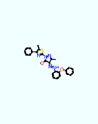 CC1=NN(c2nc(-c3ccccc3)c(C)s2)C(=O)/C1=N/Nc1ccccc1Oc1ccccc1